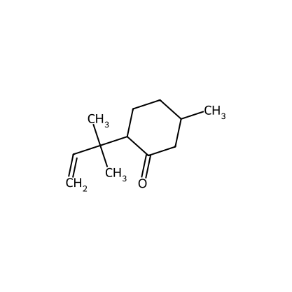 C=CC(C)(C)C1CCC(C)CC1=O